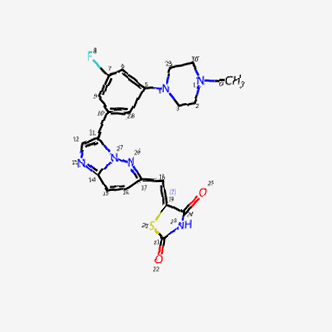 CN1CCN(c2cc(F)cc(-c3cnc4ccc(/C=C5\SC(=O)NC5=O)nn34)c2)CC1